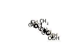 CC#C[C@H]1CN(S(=O)(=O)c2ccc(NC(=O)O)nc2)CCN1c1ccc([S+](C)[O-])cc1